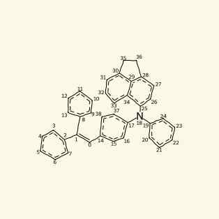 C(=C(c1ccccc1)c1ccccc1)c1ccc(N(c2ccccc2)c2ccc3c4c(cccc24)CC3)cc1